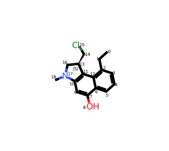 CCc1cccc2c(O)cc3c(c12)[C@H](CCl)CN3C